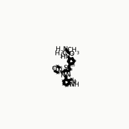 CC(C)(N)C(=O)Nc1cccc(-c2cc3nc(-c4cccc5[nH]ncc45)nc(N4CCOCC4)c3s2)c1